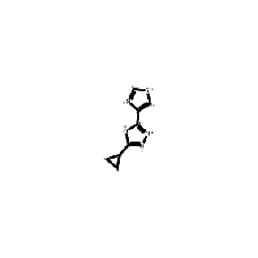 c1nc(-c2nnc(C3CC3)o2)cs1